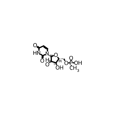 CP(=O)(O)OC[C@H]1O[C@@H](n2ccc(=O)[nH]c2=O)[C@H](O)[C@@H]1O